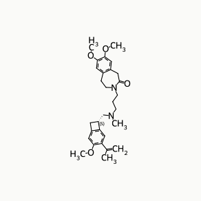 C=C(C)c1cc2c(cc1OC)C[C@@H]2CN(C)CCCN1CCc2cc(OC)c(OC)cc2CC1=O